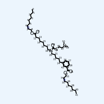 CCCCCC/C=C\COC(=O)CCCCCCCN(CCCCCc1cccc(C(=O)OC/C=C\CCCCCC)c1)C(=O)SCCN(C)C